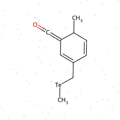 C[Te]CC1=CC(=C=O)C(C)C=C1